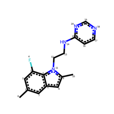 Cc1cc(F)c2c(c1)cc(C)n2CCNc1ccncn1